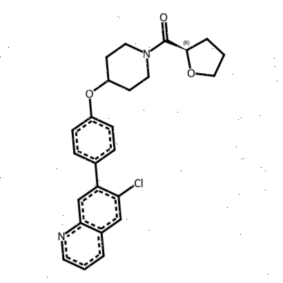 O=C([C@H]1CCCO1)N1CCC(Oc2ccc(-c3cc4ncccc4cc3Cl)cc2)CC1